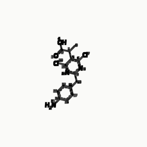 CC(C(=O)O)c1c(Cl)nc(Cc2ccc(N)cc2)nc1Cl